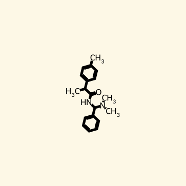 Cc1ccc(C(C)C(=O)NC(c2ccccc2)N(C)C)cc1